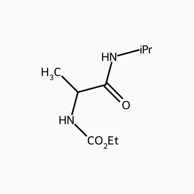 CCOC(=O)NC(C)C(=O)NC(C)C